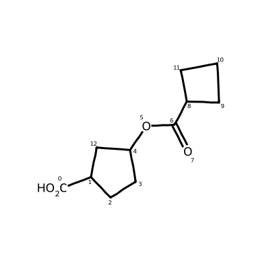 O=C(O)C1CCC(OC(=O)C2CCC2)C1